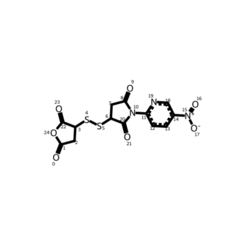 O=C1CC(SSC2CC(=O)N(c3ccc([N+](=O)[O-])cn3)C2=O)C(=O)O1